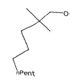 CCCCCCCCC(C)(C)C[O]